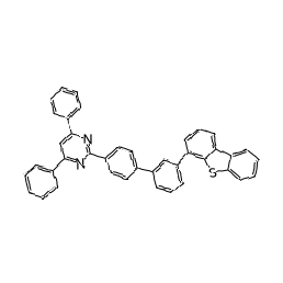 c1ccc(-c2cc(-c3ccccc3)nc(-c3ccc(-c4cccc(-c5cccc6c5sc5ccccc56)c4)cc3)n2)cc1